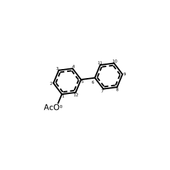 CC(=O)Oc1cccc(-c2ccccc2)c1